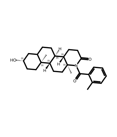 Cc1ccccc1C(=O)N1C(=O)CC[C@H]2[C@@H]3CCC4C[C@@H](O)CC[C@]4(C)[C@H]3CC[C@@]21C